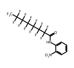 O=C(Nc1ccccc1[N+](=O)[O-])C(F)(F)C(F)(F)C(F)(F)C(F)(F)C(F)(F)C(F)(F)C(F)(F)F